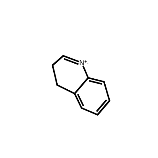 C1=[N+]c2ccccc2CC1